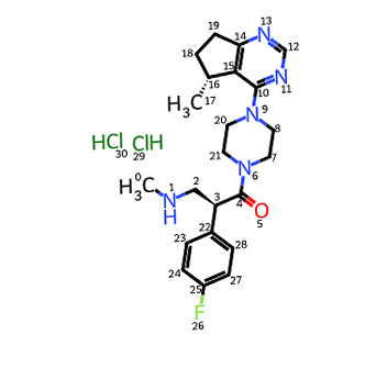 CNC[C@@H](C(=O)N1CCN(c2ncnc3c2[C@H](C)CC3)CC1)c1ccc(F)cc1.Cl.Cl